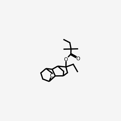 CCC(C)(C)C(=O)OC1(CC)CC2CC1C1C3CCC(CC3)C21